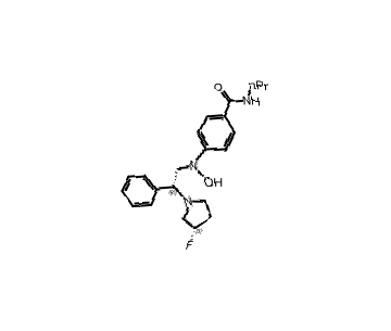 CCCNC(=O)c1ccc(N(O)C[C@@H](c2ccccc2)N2CC[C@H](F)C2)cc1